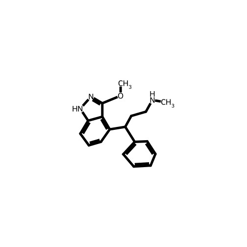 CNCCC(c1ccccc1)c1cccc2[nH]nc(OC)c12